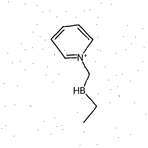 CCBC[n+]1ccccc1